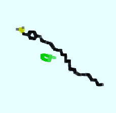 CCCCCCCCCCCCCCCCCc1ccc(C[S+](C)C)cc1.[Cl-]